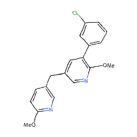 COc1ccc(Cc2cnc(OC)c(-c3cccc(Cl)c3)c2)cn1